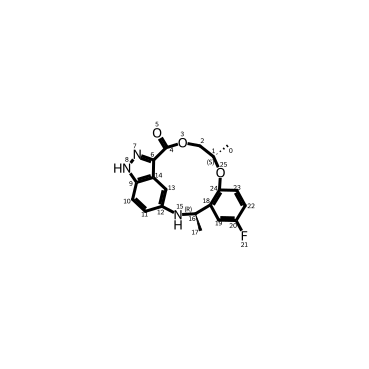 C[C@H]1COC(=O)c2n[nH]c3ccc(cc23)N[C@H](C)c2cc(F)ccc2O1